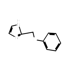 c1ccc(OCc2ncc[nH]2)cc1